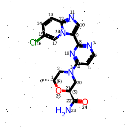 C[C@@H]1CN(c2ccnc(-c3cnc4ccc(Cl)cn34)n2)C[C@@H](C(N)=O)O1